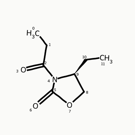 CCC(=O)N1C(=O)OC[C@@H]1CC